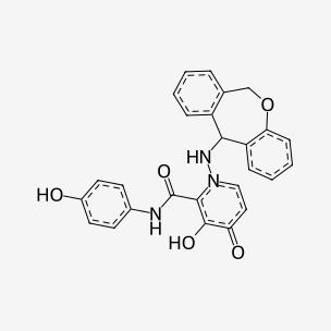 O=C(Nc1ccc(O)cc1)c1c(O)c(=O)ccn1NC1c2ccccc2COc2ccccc21